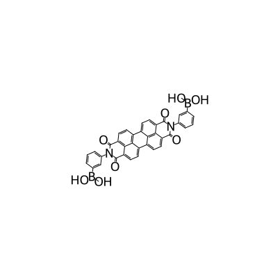 O=C1c2ccc3c4ccc5c6c(ccc(c7ccc(c2c37)C(=O)N1c1cccc(B(O)O)c1)c64)C(=O)N(c1cccc(B(O)O)c1)C5=O